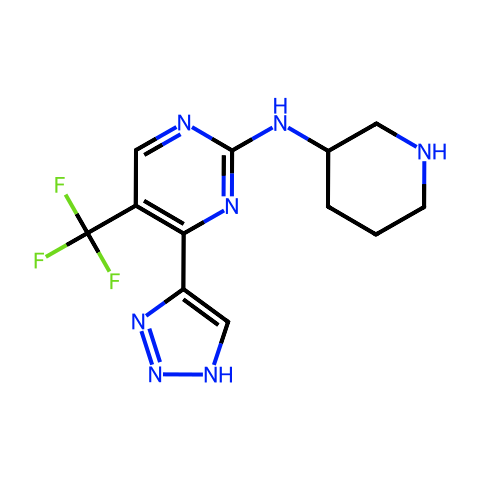 FC(F)(F)c1cnc(NC2CCCNC2)nc1-c1c[nH]nn1